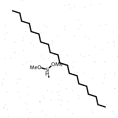 CCCCCCCCCCCCCCCCCCCC.CO[SiH](C)OC